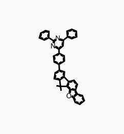 CC1(C)c2ccc(-c3ccc(-c4cc(-c5ccccc5)nc(-c5ccccc5)n4)cc3)cc2-c2ccc3c(oc4ccccc43)c21